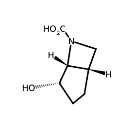 O=C(O)N1C[C@@H]2CC[C@H](O)[C@@H]21